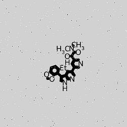 CCc1c(-c2cncc(C(O)C(=O)N(C)C)c2)cnc2[nH]cc(-c3cccc4c3OCO4)c12